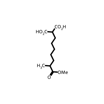 COC(=O)C(C)CCCCCC(C(=O)O)C(=O)O